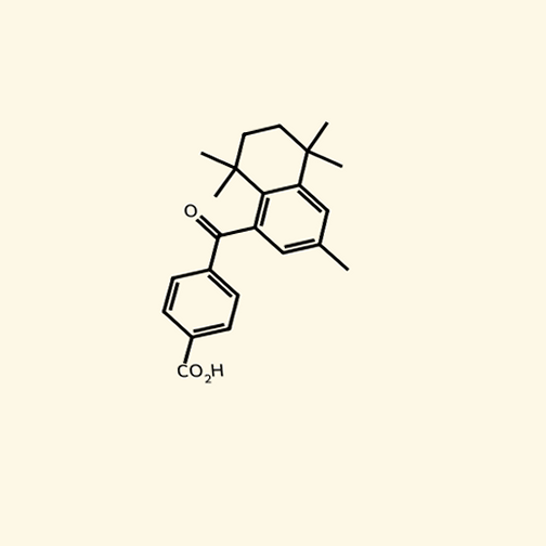 Cc1cc(C(=O)c2ccc(C(=O)O)cc2)c2c(c1)C(C)(C)CCC2(C)C